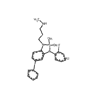 CNCCCN1c2ccc(-c3ccccc3)cc2N(c2ccccc2F)S1(O)O.Cl